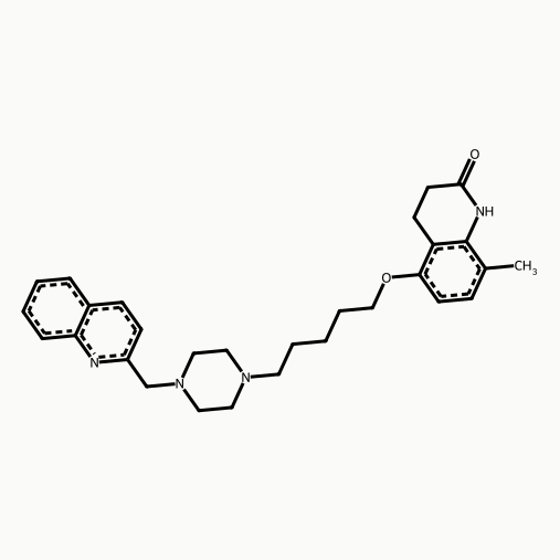 Cc1ccc(OCCCCCN2CCN(Cc3ccc4ccccc4n3)CC2)c2c1NC(=O)CC2